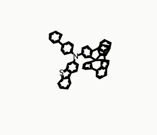 c1ccc(-c2ccc(N(c3ccc4c(c3)C3(c5ccccc5-4)c4ccccc4-c4cccc5ccc(-c6ccccc6)c3c45)c3ccc4c(c3)sc3ccccc34)cc2)cc1